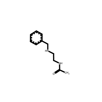 CC(=O)NCCNCc1ccccc1